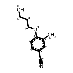 Cc1cc(C#N)ccc1OCCCO